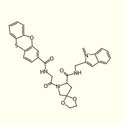 C=[N+]1C(CNC(=O)C2CC3(CN2C(=O)CNC(=O)c2ccc4c(c2)Oc2ccccc2S4)OCCO3)=Cc2ccccc21